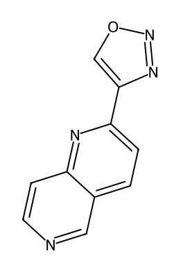 c1cc2nc(-c3conn3)ccc2cn1